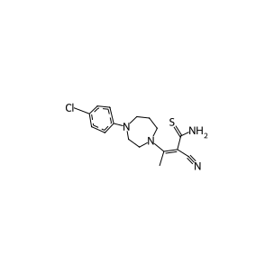 C/C(=C(\C#N)C(N)=S)N1CCCN(c2ccc(Cl)cc2)CC1